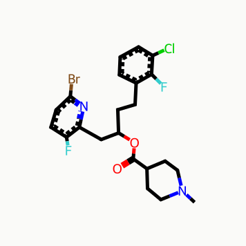 CN1CCC(C(=O)OC(CCc2cccc(Cl)c2F)Cc2nc(Br)ccc2F)CC1